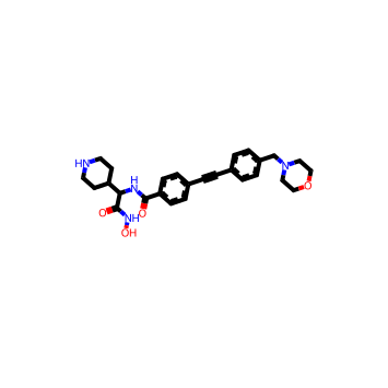 O=C(NC(C(=O)NO)C1CCNCC1)c1ccc(C#Cc2ccc(CN3CCOCC3)cc2)cc1